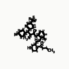 CCC[S+]([O-])N1CCNCC1CCc1c(F)cccc1NC(=O)C(N)C(c1ccc(F)cc1)c1ccc(C(F)(F)F)cn1